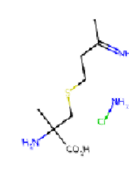 CC(=N)CCSCC(C)(N)C(=O)O.NCl